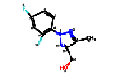 Cc1nn(-c2ccc(F)cc2F)nc1CO